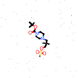 CC(C)(COS(C)(=O)=O)CN1CCN(C(=O)OC(C)(C)C)CC1